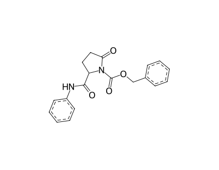 O=C(Nc1ccccc1)C1CCC(=O)N1C(=O)OCc1ccccc1